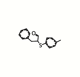 Cc1ccc(SC(C=O)Cc2ccccc2)cc1